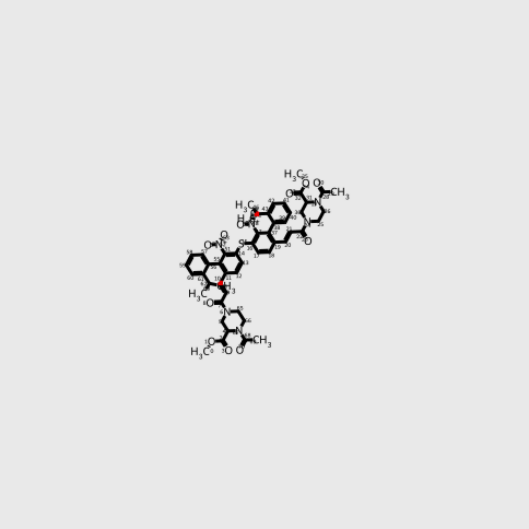 COC(=O)C1CN(C(=O)/C=C/c2ccc(Sc3ccc(/C=C/C(=O)N4CCN(C(C)=O)C(C(=O)OC)C4)c(-c4ccccc4C(C)C)c3[N+](=O)[O-])c([N+](=O)[O-])c2-c2ccccc2C(C)C)CCN1C(C)=O